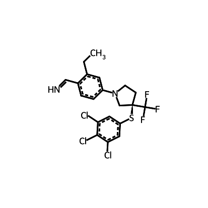 CCc1cc(N2CC[C@](Sc3cc(Cl)c(Cl)c(Cl)c3)(C(F)(F)F)C2)ccc1C=N